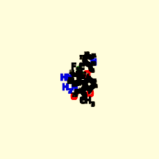 Cc1oc2ccc(OCc3ncccc3C(F)(F)F)c(C3CCNCC3(F)F)c2c1C(N)=O